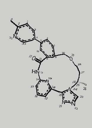 Cc1ccc(-c2ccc3c(c2)C(=O)Nc2cccc(n2)-c2nncn2[C@@H](C)CCOC3)cn1